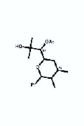 CC(=O)O[C@@H](C1C[C@@H](C)C(C)C(C(C)C)O1)C(C)(C)O